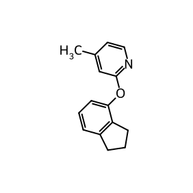 Cc1ccnc(Oc2cccc3c2CCC3)c1